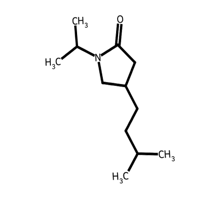 CC(C)CCC1CC(=O)N(C(C)C)C1